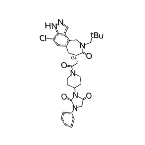 CC(C)(C)CN1Cc2c(cc(Cl)c3[nH]ncc23)C[C@@H](CC(=O)N2CCC(N3C(=O)CN(c4ccccc4)C3=O)CC2)C1=O